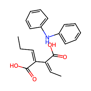 CC=C(C(=O)O)C(=CCC)C(=O)O.c1ccc(Nc2ccccc2)cc1